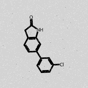 O=C1Cc2ccc(-c3cccc(Cl)c3)cc2N1